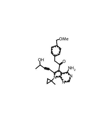 COCc1ccc(CC(=O)c2c(C#CC(C)O)n(C3(C)CC3)c3ncnc(N)c23)cc1